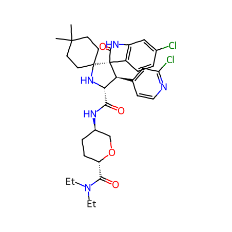 CCN(CC)C(=O)[C@@H]1CC[C@@H](NC(=O)[C@@H]2NC3(CCC(C)(C)CC3)[C@@]3(C(=O)Nc4cc(Cl)ccc43)[C@H]2c2ccnc(Cl)c2)CO1